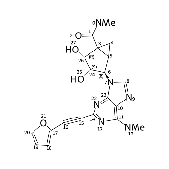 CNC(=O)C12CC1[C@@H](n1cnc3c(NC)nc(C#Cc4ccco4)nc31)[C@H](O)[C@@H]2O